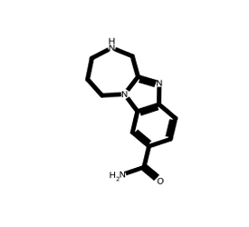 NC(=O)c1ccc2nc3n(c2c1)CCCNC3